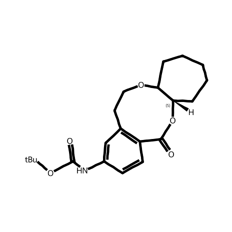 CC(C)(C)OC(=O)Nc1ccc2c(c1)CCOC1CCCCC[C@@H]1OC2=O